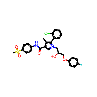 Cc1c(C(=O)Nc2ccc(S(C)(=O)=O)cc2)cn(C[C@H](O)COc2ccc(F)cc2)c1-c1ccccc1Cl